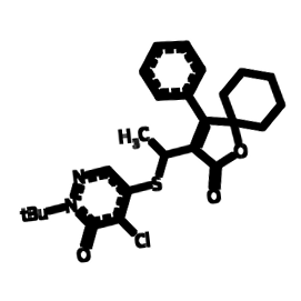 CC(Sc1cnn(C(C)(C)C)c(=O)c1Cl)C1=C(c2ccccc2)C2(CCCCC2)OC1=O